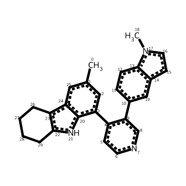 Cc1cc(-c2ccncc2-c2ccc3c(ccn3C)c2)c2[nH]c3c(c2c1)CCCC3